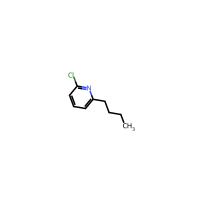 CCCCc1cccc(Cl)n1